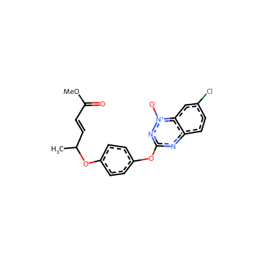 COC(=O)C=CC(C)Oc1ccc(Oc2nc3ccc(Cl)cc3[n+]([O-])n2)cc1